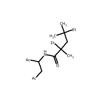 CCC(C)(C)CC(C)(CC)C(=O)NC(CC(C)=O)C(C)=O